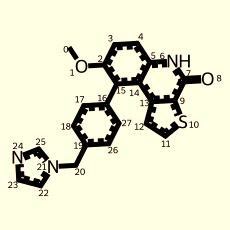 COc1ccc2[nH]c(=O)c3sccc3c2c1-c1ccc(Cn2ccnc2)cc1